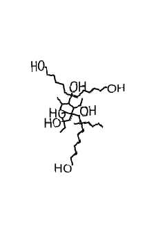 CCCCC(C)(CCCCCCCO)C(O)C(CO)(CC(C)(O)CC)C(CC)C(C(C)C)C(O)(CCCCCCO)CCCCCCO